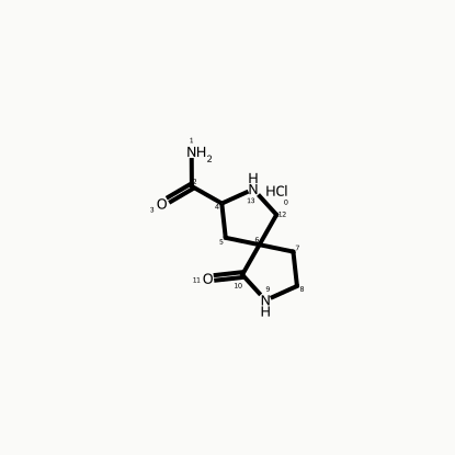 Cl.NC(=O)C1CC2(CCNC2=O)CN1